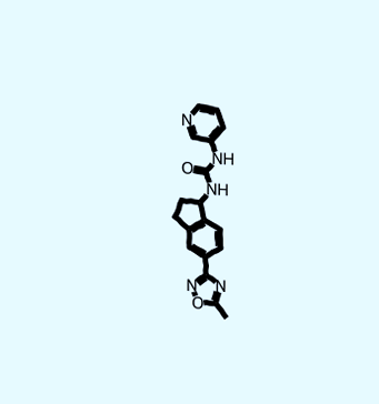 Cc1nc(-c2ccc3c(c2)CCC3NC(=O)Nc2cccnc2)no1